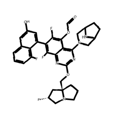 O=COc1c(F)c(-c2cc(O)cc3cccc(F)c23)c(F)c2nc(OC[C@@]34CCCN3C[C@H](F)C4)nc(N3CC4CCC(C3)N4)c12